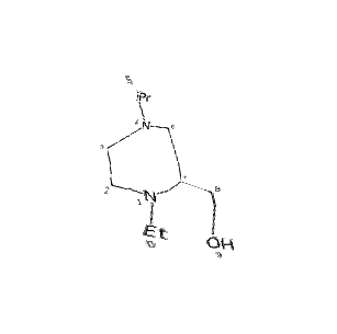 CCN1CCN(C(C)C)CC1CO